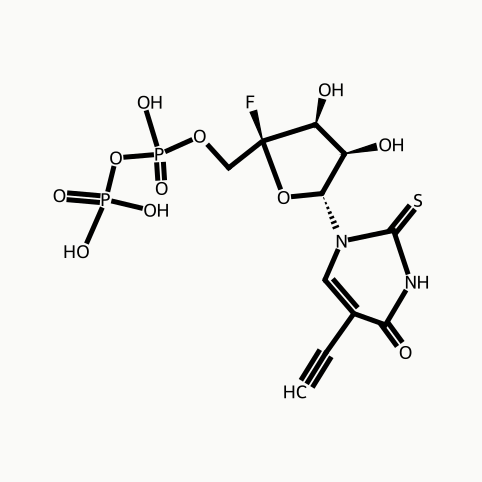 C#Cc1cn([C@@H]2O[C@](F)(COP(=O)(O)OP(=O)(O)O)[C@@H](O)[C@H]2O)c(=S)[nH]c1=O